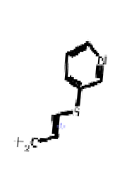 [CH2]/C=C/Sc1cccnc1